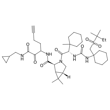 C#CCCC(NC(=O)[C@@H]1C2[C@H](CN1C(=O)[C@@H](NC(=O)NC1(CS(=O)(=O)C(C)(C)CC)CCCCC1)C1(C)CCCCC1)C2(C)C)C(=O)C(=O)NCC1CC1